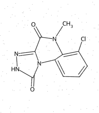 Cn1c(=O)c2n[nH]c(=O)n2c2cccc(Cl)c21